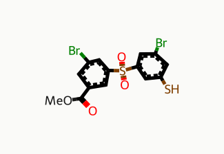 COC(=O)c1cc(Br)cc(S(=O)(=O)c2cc(S)cc(Br)c2)c1